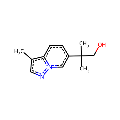 Cc1cnn2cc(C(C)(C)CO)ccc12